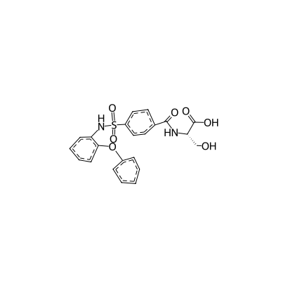 O=C(N[C@@H](CO)C(=O)O)c1ccc(S(=O)(=O)Nc2ccccc2Oc2ccccc2)cc1